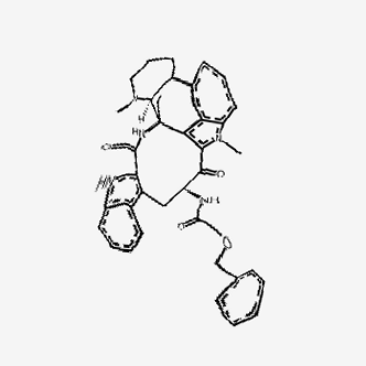 CN1CCCC2c3cccc4c3c3c(n4C)C(=O)[C@@H](NC(=O)OCc4ccccc4)Cc4c([nH]c5ccccc45)C(=O)NC3(C)[C@H]21